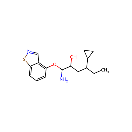 CCC(CC(O)C(N)Oc1cccc2sncc12)C1CC1